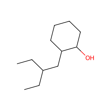 CCC(CC)CC1CCCCC1O